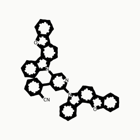 N#Cc1ccccc1-c1cc(-n2c3ccccc3c3c4oc5ccccc5c4ccc32)ncc1-n1c2ccccc2c2c3oc4ccccc4c3ccc21